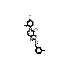 Cc1cccc(COc2nc3c(s2)C(=O)N(c2ccc(F)cc2F)CC3)c1